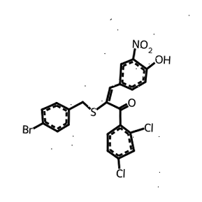 O=C(/C(=C\c1ccc(O)c([N+](=O)[O-])c1)SCc1ccc(Br)cc1)c1ccc(Cl)cc1Cl